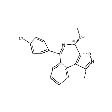 CN[C@@H]1N=C(c2ccc(Cl)cc2)c2ccccc2-c2c(C)noc21